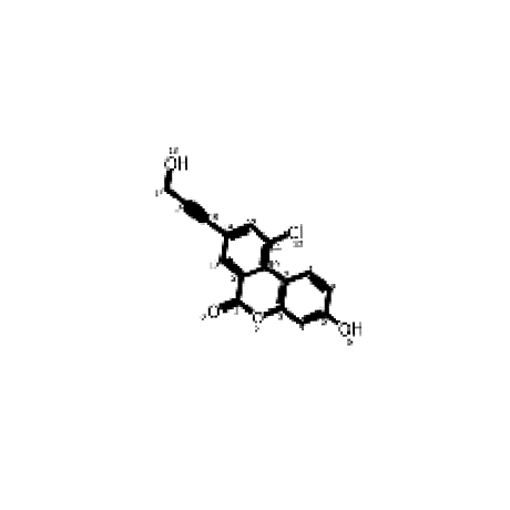 O=c1oc2cc(O)ccc2c2c(Cl)cc(C#CCO)cc12